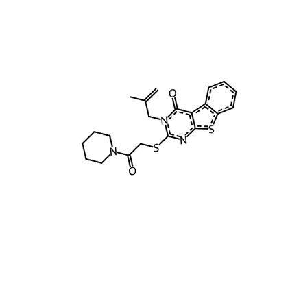 C=C(C)Cn1c(SCC(=O)N2CCCCC2)nc2sc3ccccc3c2c1=O